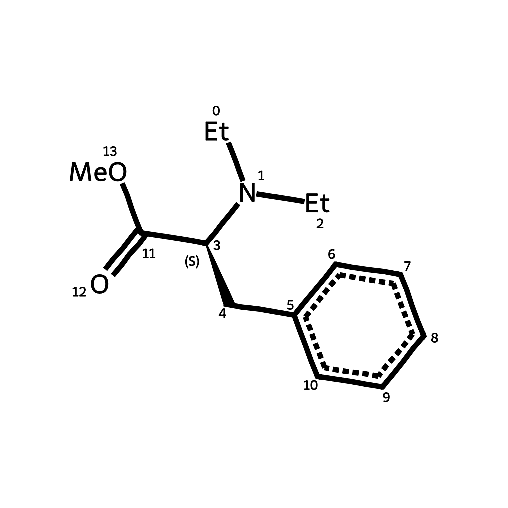 CCN(CC)[C@@H](Cc1ccccc1)C(=O)OC